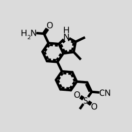 Cc1[nH]c2c(C(N)=O)ccc(-c3cccc(C=C(C#N)S(C)(=O)=O)c3)c2c1C